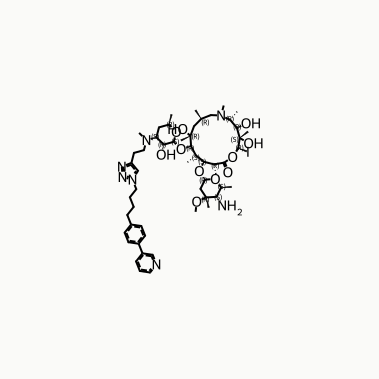 CO[C@]1(C)C[C@H](O[C@H]2[C@H](C)[C@@H](O[C@@H]3O[C@H](C)C[C@H](N(C)CCc4cn(CCCCc5ccc(-c6cccnc6)cc5)nn4)[C@H]3O)[C@](C)(O)C[C@@H](C)CN(C)[C@H](C)[C@@H](O)[C@](C)(O)[C@@H](I)OC(=O)[C@@H]2C)O[C@@H](C)[C@@H]1N